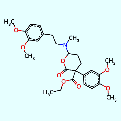 CCOC(=O)C1(c2ccc(OC)c(OC)c2)CCC(N(C)CCc2ccc(OC)c(OC)c2)OC1=O